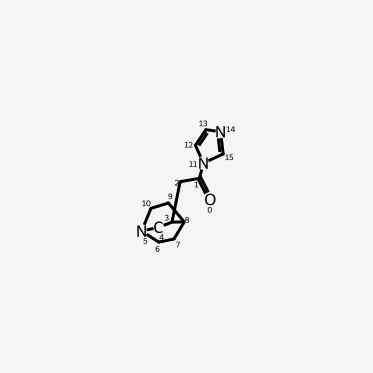 O=C(CC1CN2CCC1CC2)n1ccnc1